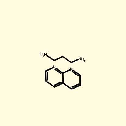 NCCCN.c1cnc2ncccc2c1